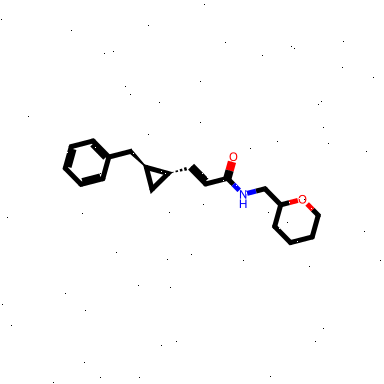 O=C(/C=C/[C@@H]1C[C@H]1Cc1ccccc1)NCC1CCCCO1